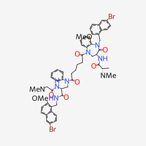 CNCC(=O)NC(CN(C(=O)CCCCC(=O)N1CC(NC(=O)[C@H](C)NC)C(=O)N(Cc2c(OC)ccc3cc(Br)ccc23)c2ccccc21)c1ccccc1)C(=O)NCc1c(OC)ccc2cc(Br)ccc12